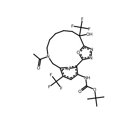 CC(=O)N1CCCCCC(O)(C(F)(F)F)c2nnc(o2)-c2nc(c(C(F)(F)F)cc2NC(=O)OC(C)(C)C)C1